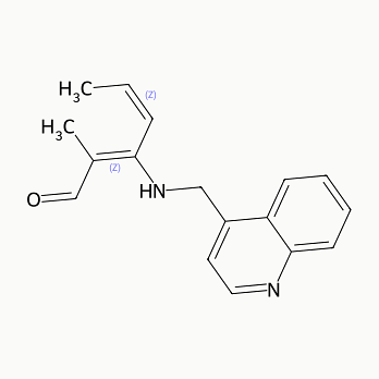 C/C=C\C(NCc1ccnc2ccccc12)=C(/C)C=O